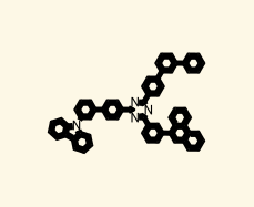 c1ccc(-c2cccc(-c3ccc(-c4nc(-c5ccc(-c6cccc(-n7c8ccccc8c8ccccc87)c6)cc5)nc(-c5cccc(-c6cc7ccccc7c7ccccc67)c5)n4)cc3)c2)cc1